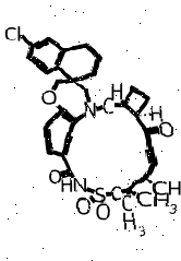 C[C@H]1/C=C/C(=O)[C@@H]2CC[C@H]2CN2C[C@@]3(CCCc4cc(Cl)ccc43)COc3ccc(cc32)C(=O)NS(=O)(=O)CC1(C)C